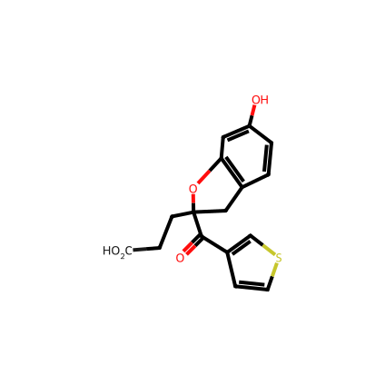 O=C(O)CCC1(C(=O)c2ccsc2)Cc2ccc(O)cc2O1